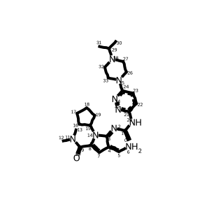 C=C(/N=C1\C(=C/N)C=C(C(=O)N(C)C)N1C1CCCC1)Nc1ccc(N2CCN(C(C)C)CC2)nn1